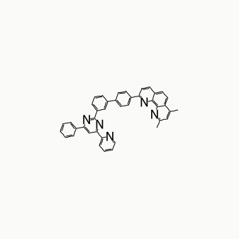 Cc1cc(C)c2ccc3ccc(-c4ccc(-c5cccc(-c6nc(-c7ccccc7)cc(-c7ccccn7)n6)c5)cc4)nc3c2n1